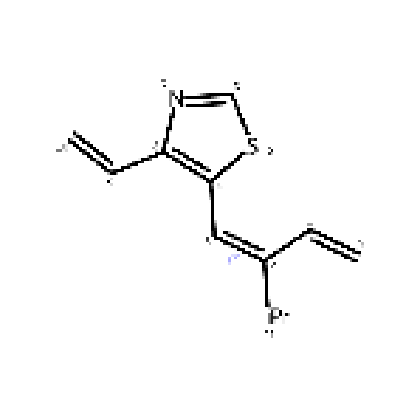 C=C/C(=C\c1scnc1C=C)C(C)C